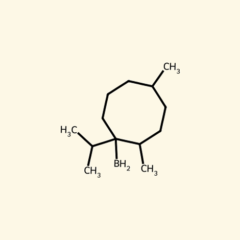 BC1(C(C)C)CCCC(C)CCC1C